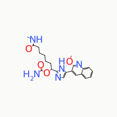 CNC(=O)CCCCCC(OC(N)=O)c1ncc(-c2cc3ccccc3nc2OC)[nH]1